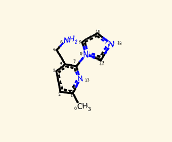 Cc1ccc(CN)c(-n2ccnc2)n1